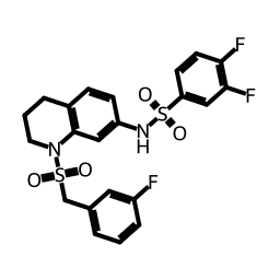 O=S(=O)(Nc1ccc2c(c1)N(S(=O)(=O)Cc1cccc(F)c1)CCC2)c1ccc(F)c(F)c1